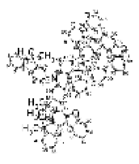 CC1(C)c2ccccc2-c2ccc(N(c3ccc4c(c3)C(C)(C)c3c5c(c6c(oc7ccccc76)c3-4)-c3ccccc3C5(C)C)c3ccc4c(c3)C(c3ccccc3)(c3ccccc3)c3cc5c(cc3-4)C(c3ccccc3)(c3ccccc3)c3ccc4oc6ccccc6c4c3-5)cc21